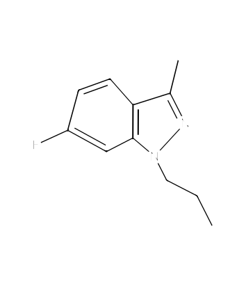 CCCn1nc(C)c2ccc(F)cc21